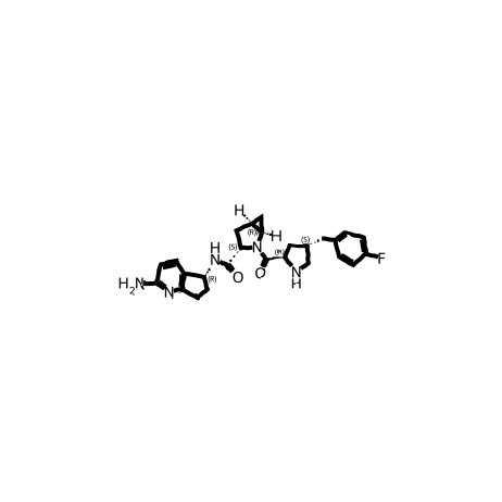 Nc1ccc2c(n1)CC[C@H]2NC(=O)[C@@H]1C[C@H]2C[C@H]2N1C(=O)[C@H]1C[C@H](Cc2ccc(F)cc2)CN1